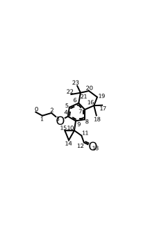 CCCOc1cc2c(cc1C1(CC=O)CC1)C(C)(C)CCC2(C)C